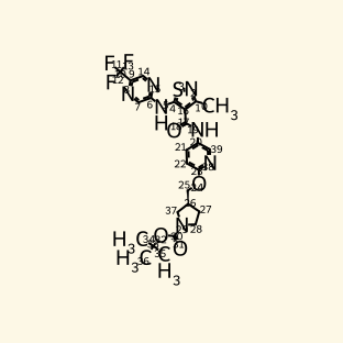 Cc1nsc(Nc2cnc(C(F)(F)F)cn2)c1C(=O)Nc1ccc(OC[C@H]2CCN(C(=O)OC(C)(C)C)C2)nc1